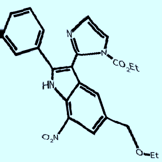 CCOCc1cc([N+](=O)[O-])c2[nH]c(-c3ccccc3)c(-c3nccn3C(=O)OCC)c2c1